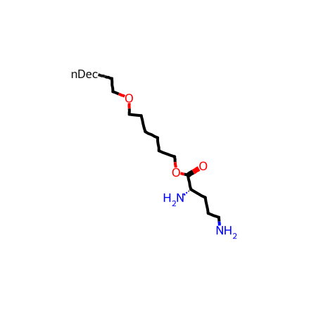 CCCCCCCCCCCCOCCCCCCOC(=O)[C@@H](N)CCCN